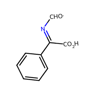 O=[C]N=C(C(=O)O)c1ccccc1